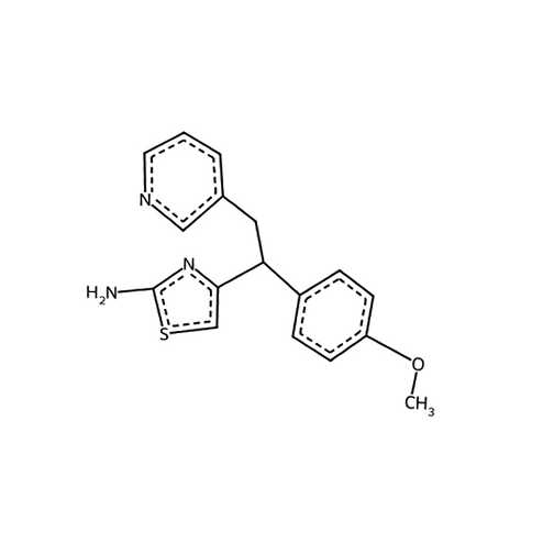 COc1ccc(C(Cc2cccnc2)c2csc(N)n2)cc1